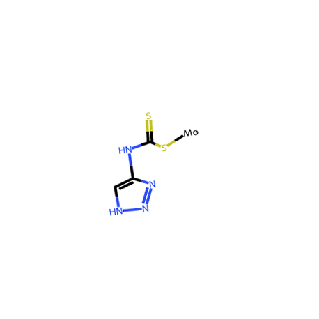 S=C(Nc1c[nH]nn1)[S][Mo]